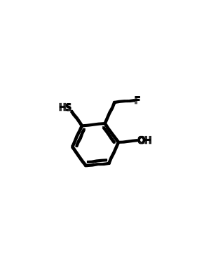 Oc1cccc(S)c1CF